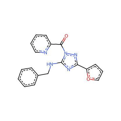 O=C(c1ccccn1)n1nc(-c2ccco2)nc1NCc1ccccc1